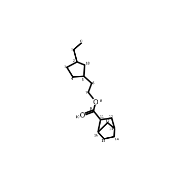 CCC1CCC(CCOC(=O)C2CC3CCC2C3)C1